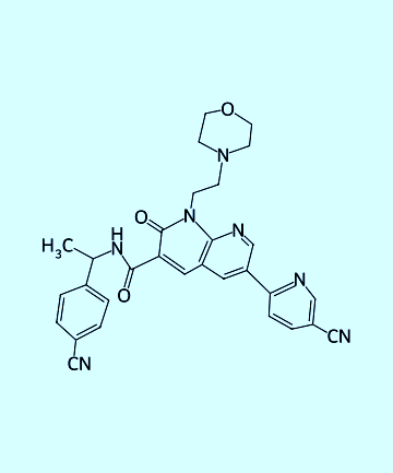 CC(NC(=O)c1cc2cc(-c3ccc(C#N)cn3)cnc2n(CCN2CCOCC2)c1=O)c1ccc(C#N)cc1